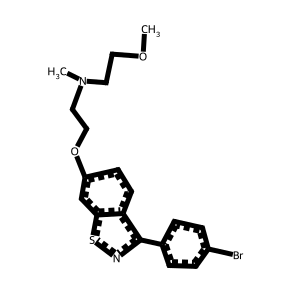 COCCN(C)CCOc1ccc2c(-c3ccc(Br)cc3)nsc2c1